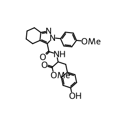 COC(=O)C(Cc1ccc(O)cc1)NC(=O)c1c2c(nn1-c1ccc(OC)cc1)CCCC2